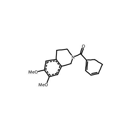 COc1cc2c(cc1OC)CN(C(=O)C1=CC=CCC1)CC2